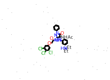 CC(=O)NC1(Nc2ccccc2)C(=O)N(c2ccccc2)N=C1NC(=O)COc1cc(Cl)c(Cl)c(Cl)c1.CCNCC